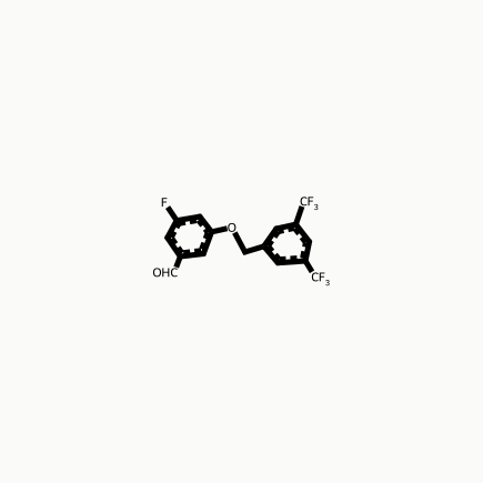 O=Cc1cc(F)cc(OCc2cc(C(F)(F)F)cc(C(F)(F)F)c2)c1